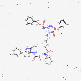 C[C@@]1(NC(=O)CCC2CCCC[C@@H]2NC(=O)CCCCCN(C(=O)OCc2ccccc2)C(N)=NC(=O)OCc2ccccc2)C(=O)N[C@H]1Oc1ccccc1